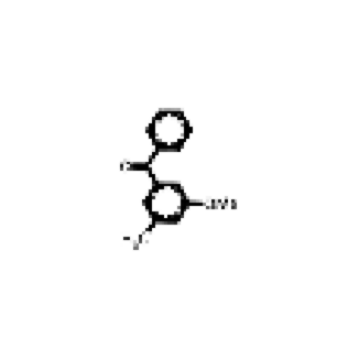 COc1cc(C)cc(C(=O)c2ccccc2)c1